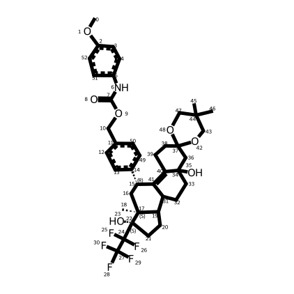 COc1ccc(NC(=O)OCc2ccc([C@H]3C[C@@]4(C)C(CC[C@@]4(O)C(F)(F)C(F)(F)F)C4CCC5(O)CC6(CCC5=C43)OCC(C)(C)CO6)cc2)cc1